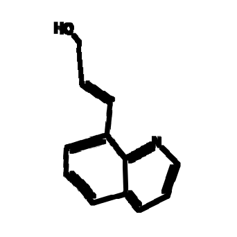 OCC=Cc1cccc2cccnc12